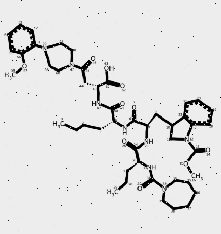 CCCC[C@@H](NC(=O)[C@@H](CC1CN(C(=O)OC)c2ccccc21)NC(=O)[C@H](CCC)NC(=O)N1CCCCCC1)C(=O)N[C@H](CC(=O)N1CCN(c2ccccc2OC)CC1)C(=O)O